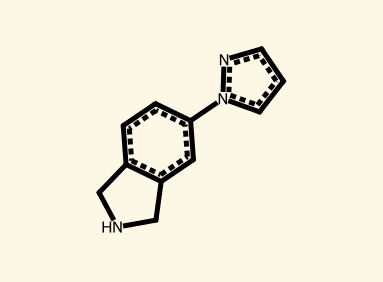 c1cnn(-c2ccc3c(c2)CNC3)c1